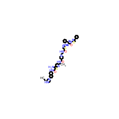 C#CC[C@@H]1CN(c2ccc3c(c2)CC[C@H](NC(=O)c2sc4nc(C(C)NC(=O)C5CCN(CCNC(=O)c6cnc(N/N=C7/C(=O)N(c8nc(-c9ccccc9)cs8)N=C7c7ccccc7)s6)CC5)ccc4c2N)C3)CCN1